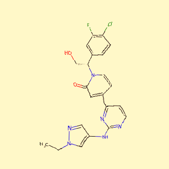 CCn1cc(Nc2nccc(-c3ccn([C@H](CO)c4ccc(Cl)c(F)c4)c(=O)c3)n2)cn1